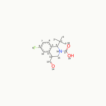 CC(C)(C)C1c2ccc(F)cc2C(C=O)CN1C(=O)O